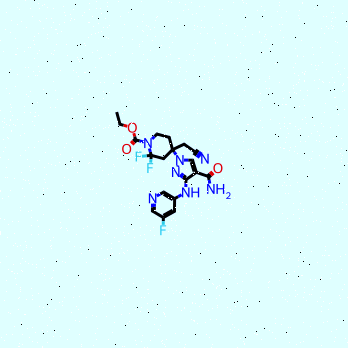 CCOC(=O)N1CCC(CC#N)(n2cc(C(N)=O)c(Nc3cncc(F)c3)n2)CC1(F)F